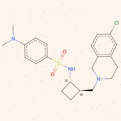 CN(C)c1ccc(S(=O)(=O)N[C@H]2CC[C@@H]2CN2CCc3cc(Cl)ccc3C2)cc1